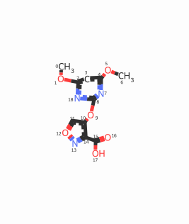 COc1cc(OC)nc(Oc2conc2C(=O)O)n1